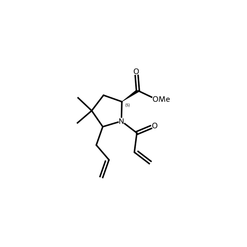 C=CCC1N(C(=O)C=C)[C@H](C(=O)OC)CC1(C)C